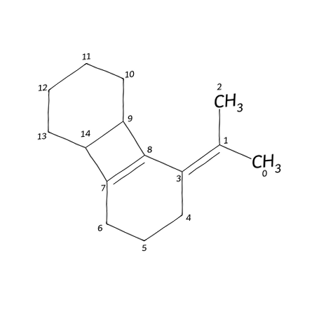 CC(C)=C1CCCC2=C1C1CCCCC21